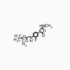 CN[C@@H]1CN(c2ccc(NCC(=O)OC(C)(C)C)c(F)c2)C(=O)O1